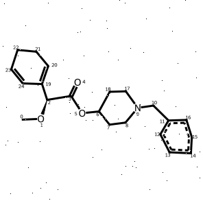 CO[C@H](C(=O)OC1CCN(Cc2ccccc2)CC1)C1=CCCC=C1